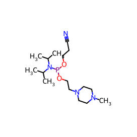 CC(C)N(C(C)C)P(OCCC#N)OCCN1CCN(C)CC1